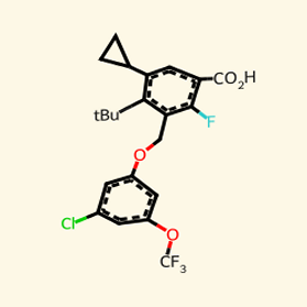 CC(C)(C)c1c(C2CC2)cc(C(=O)O)c(F)c1COc1cc(Cl)cc(OC(F)(F)F)c1